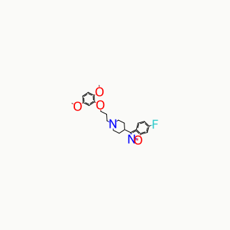 COc1ccc(OC)c(OCCCN2CCC(c3noc4cc(F)ccc34)CC2)c1